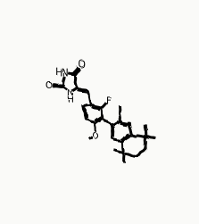 COc1ccc(/C=C2\NC(=O)NC2=O)c(F)c1-c1cc2c(cc1C)C(C)(C)CCC2(C)C